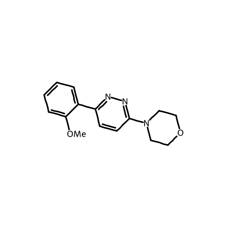 COc1ccccc1-c1ccc(N2CCOCC2)nn1